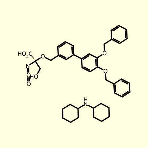 C1CCC(NC2CCCCC2)CC1.O=C=N[C@](CO)(OCc1cccc(-c2ccc(OCc3ccccc3)c(OCc3ccccc3)c2)c1)C(=O)O